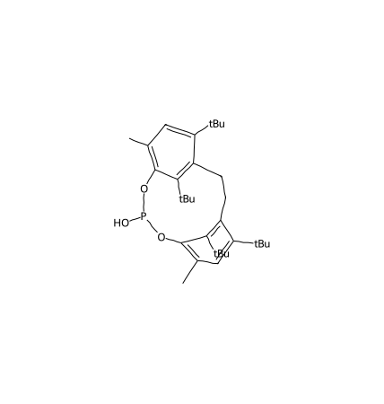 Cc1cc(C(C)(C)C)c2c(C(C)(C)C)c1OP(O)Oc1c(C)cc(C(C)(C)C)c(c1C(C)(C)C)CC2